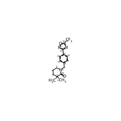 CC1(C)CCCN(Cc2ccc(-c3noc(C(F)(F)F)n3)cc2)C1=O